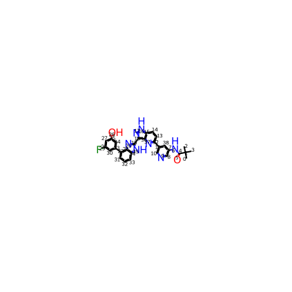 CC(C)(C)C(=O)Nc1cncc(-c2ccc3[nH]nc(-c4nc5c(-c6cc(O)cc(F)c6)cccc5[nH]4)c3n2)c1